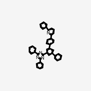 c1ccc(-c2cc(-c3ccc(-c4cccc(-c5ccccc5)n4)cc3)cc(-c3nc(-c4ccccc4)nc(-c4ccccc4)n3)c2)cc1